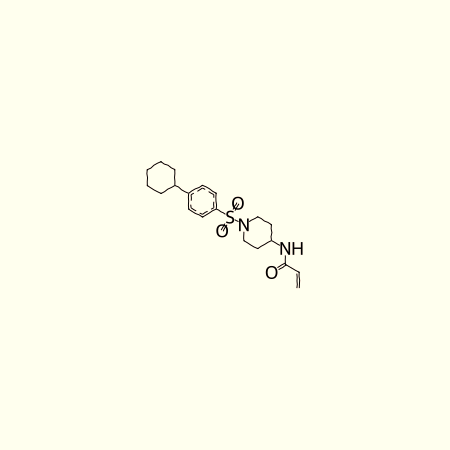 C=CC(=O)NC1CCN(S(=O)(=O)c2ccc(C3CCCCC3)cc2)CC1